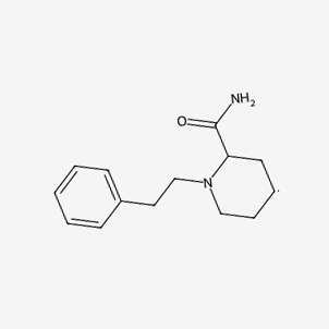 NC(=O)C1C[CH]CCN1CCc1ccccc1